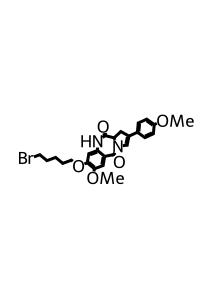 COc1ccc(C2=CN3C(=O)c4cc(OC)c(OCCCCCBr)cc4NC(=O)C3C2)cc1